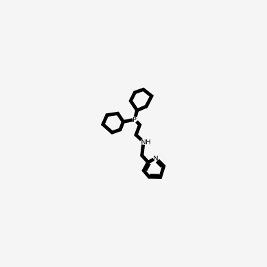 c1ccc(CNCCP(C2CCCCC2)C2CCCCC2)nc1